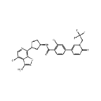 Nc1noc2c(N3CC[C@@H](NC(=O)c4ccc(-c5ccc(=O)n(CC(F)(F)F)c5)cc4Cl)C3)ncc(Cl)c12